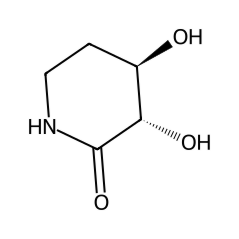 O=C1NCC[C@@H](O)[C@@H]1O